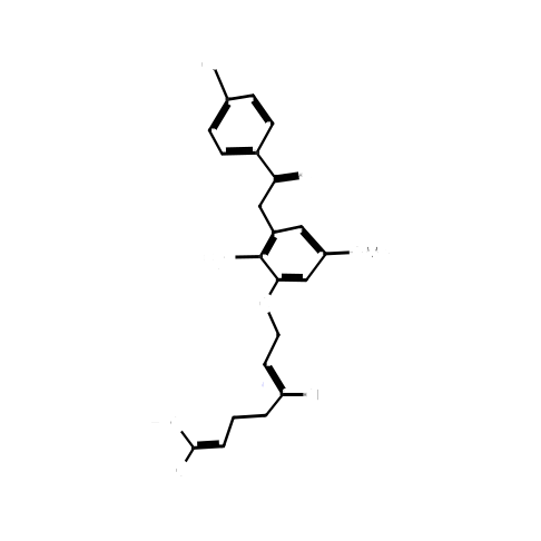 CCOC(=O)c1c(CC(=O)c2ccc(Cl)cc2)cc(OC)cc1OC/C=C(\C)CCC=C(C)C